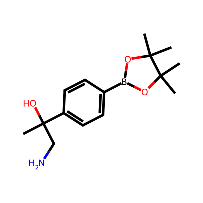 CC(O)(CN)c1ccc(B2OC(C)(C)C(C)(C)O2)cc1